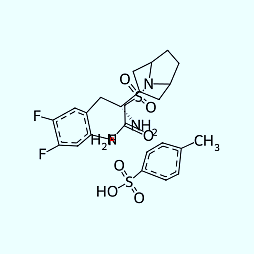 Cc1ccc(S(=O)(=O)O)cc1.NC(=O)CS(=O)(=O)N1C2CCC1CC([C@H](N)Cc1cc(F)c(F)cc1F)C2